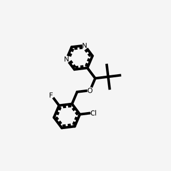 CC(C)(C)C(OCc1c(F)cccc1Cl)c1cncnc1